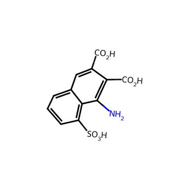 Nc1c(C(=O)O)c(C(=O)O)cc2cccc(S(=O)(=O)O)c12